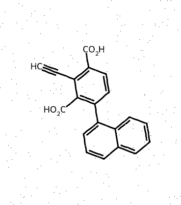 C#Cc1c(C(=O)O)ccc(-c2cccc3ccccc23)c1C(=O)O